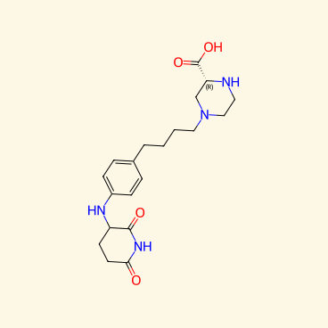 O=C1CCC(Nc2ccc(CCCCN3CCN[C@@H](C(=O)O)C3)cc2)C(=O)N1